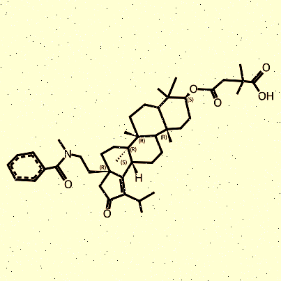 CC(C)C1=C2[C@H]3CCC4[C@@]5(C)CC[C@H](OC(=O)CC(C)(C)C(=O)O)C(C)(C)C5CC[C@@]4(C)[C@]3(C)CC[C@@]2(CCN(C)C(=O)c2ccccc2)CC1=O